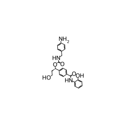 Nc1ccc(CNC(=O)O[C@H](CCO)c2ccc(C(=O)Nc3ccccc3O)cc2)cc1